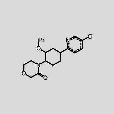 CC(C)OC1CC(c2ccc(Cl)cn2)C[CH]C1N1CCOCC1=O